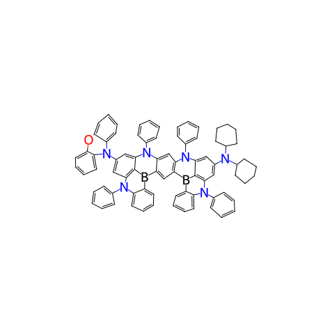 c1ccc(N2c3ccccc3B3c4cc5c(cc4N(c4ccccc4)c4cc(N6c7ccccc7Oc7ccccc76)cc2c43)N(c2ccccc2)c2cc(N(C3CCCCC3)C3CCCCC3)cc3c2B5c2ccccc2N3c2ccccc2)cc1